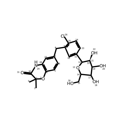 CC1(C)Oc2ccc(Cc3cc(C4OC(CO)C(O)C(O)[C@@H]4O)ccc3Cl)cc2NC1=O